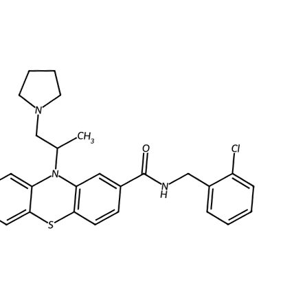 CC(CN1CCCC1)N1c2ccccc2Sc2ccc(C(=O)NCc3ccccc3Cl)cc21